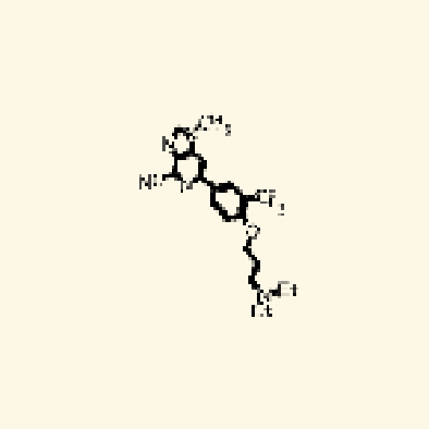 CCN(CC)CCCOc1ccc(-c2cc3c(ncn3C)c(C#N)n2)cc1C(F)(F)F